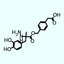 CC(Cc1ccc(O)c(O)c1)(NN)C(=O)OCc1ccc(CC(=O)O)cc1